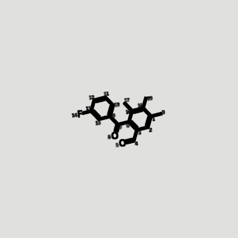 Cc1cc(C=O)c(C(=O)c2cccc(F)c2)c(C)c1C